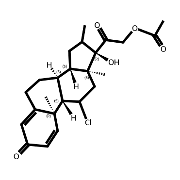 CC(=O)OCC(=O)[C@@]1(O)C(C)C[C@H]2[C@@H]3CCC4=CC(=O)C=C[C@]4(C)[C@H]3C(Cl)C[C@@]21C